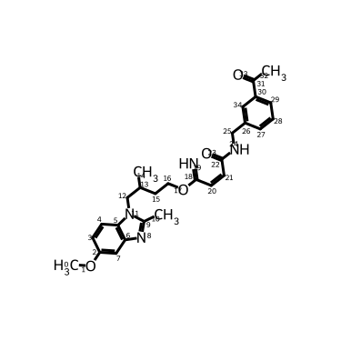 COc1ccc2c(c1)nc(C)n2CC(C)CCOC(=N)/C=C\C(=O)NCc1cccc(C(C)=O)c1